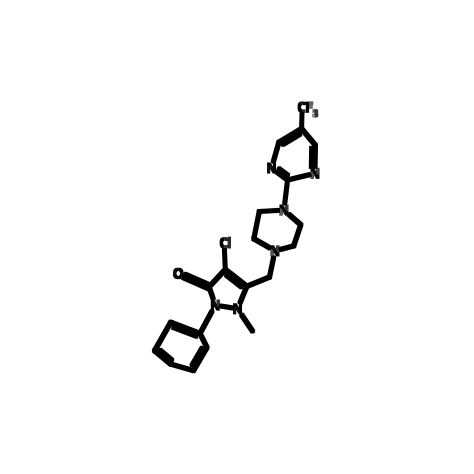 Cn1c(CN2CCN(c3ncc(C(F)(F)F)cn3)CC2)c(Cl)c(=O)n1-c1ccccc1